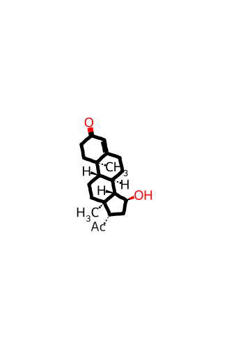 CC(=O)[C@H]1C[C@H](O)[C@H]2[C@@H]3CCC4=CC(=O)CC[C@]4(C)[C@H]3CC[C@@]21C